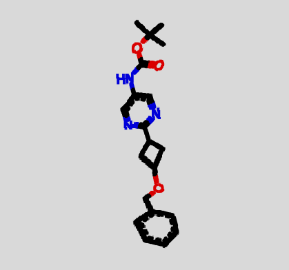 CC(C)(C)OC(=O)Nc1cnc(C2CC(OCc3ccccc3)C2)nc1